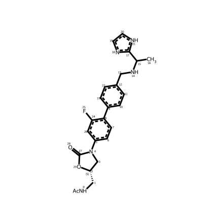 CC(=O)NC[C@H]1CN(c2ccc(-c3ccc(CNC(C)c4ncc[nH]4)cc3)c(F)c2)C(=O)O1